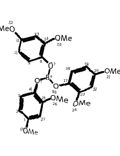 COc1ccc(OB(Oc2ccc(OC)cc2OC)Oc2ccc(OC)cc2OC)c(OC)c1